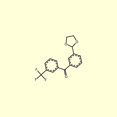 O=C(c1cccc(C2OCCO2)c1)c1cccc(C(F)(F)F)c1